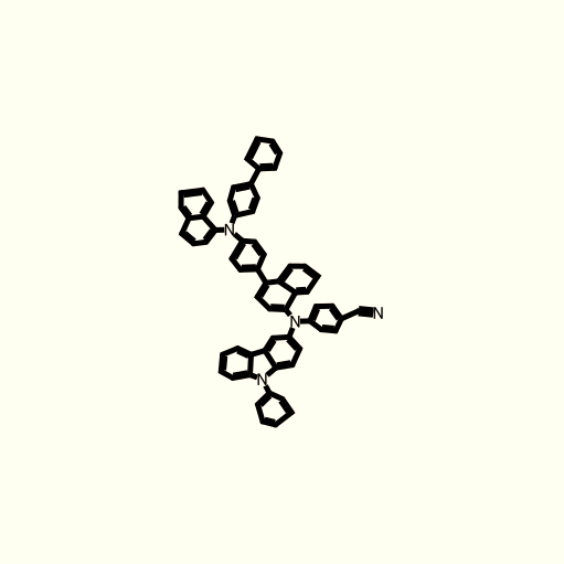 N#Cc1ccc(N(c2ccc3c(c2)c2ccccc2n3-c2ccccc2)c2ccc(-c3ccc(N(c4ccc(-c5ccccc5)cc4)c4cccc5ccccc45)cc3)c3ccccc23)cc1